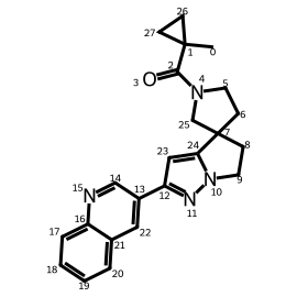 CC1(C(=O)N2CCC3(CCn4nc(-c5cnc6ccccc6c5)cc43)C2)CC1